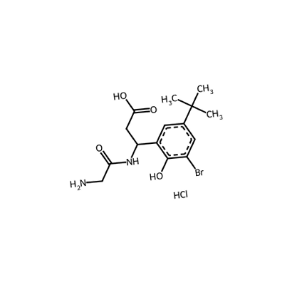 CC(C)(C)c1cc(Br)c(O)c(C(CC(=O)O)NC(=O)CN)c1.Cl